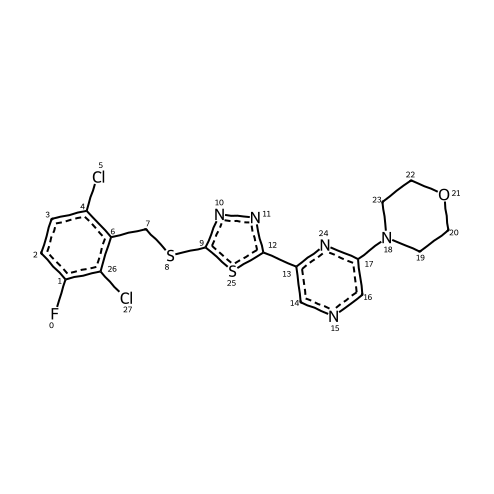 Fc1ccc(Cl)c(CSc2nnc(-c3cncc(N4CCOCC4)n3)s2)c1Cl